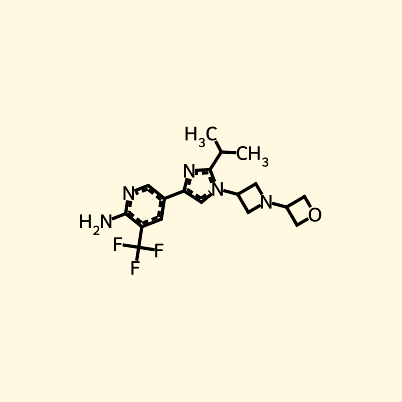 CC(C)c1nc(-c2cnc(N)c(C(F)(F)F)c2)cn1C1CN(C2COC2)C1